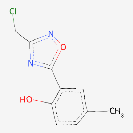 Cc1ccc(O)c(-c2nc(CCl)no2)c1